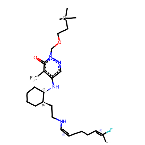 CC/C(F)=C\CC/C=C\NCC[C@H]1CCCC[C@@H]1Nc1cnn(COCC[Si](C)(C)C)c(=O)c1C(F)(F)F